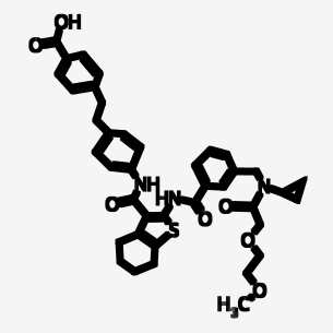 COCCOCC(=O)N(Cc1cccc(C(=O)Nc2sc3c(c2C(=O)Nc2ccc(CCc4ccc(C(=O)O)cc4)cc2)CCCC3)c1)C1CC1